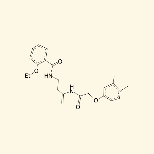 C=C(CCNC(=O)c1ccccc1OCC)NC(=O)COc1ccc(C)c(C)c1